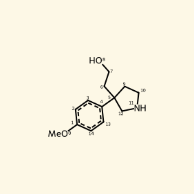 COc1ccc(C2(CCO)CCNC2)cc1